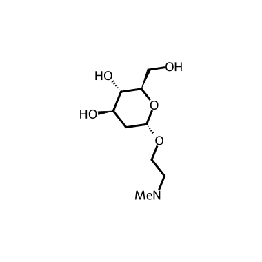 CNCCO[C@@H]1C[C@@H](O)[C@H](O)[C@@H](CO)O1